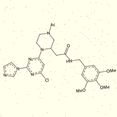 COc1cc(CNC(=O)CC2CN(C(C)=O)CCN2c2cc(Cl)nc(-n3ccnc3)n2)cc(OC)c1OC